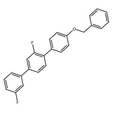 Fc1cccc(-c2ccc(-c3ccc(OCc4ccccc4)cc3)c(F)c2)c1